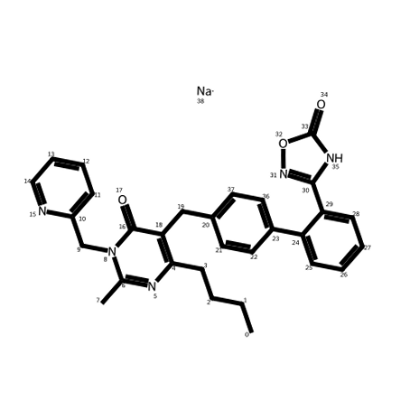 CCCCc1nc(C)n(Cc2ccccn2)c(=O)c1Cc1ccc(-c2ccccc2-c2noc(=O)[nH]2)cc1.[Na]